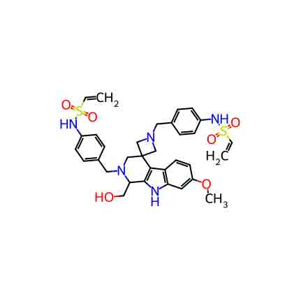 C=CS(=O)(=O)Nc1ccc(CN2CC3(C2)CN(Cc2ccc(NS(=O)(=O)C=C)cc2)C(CO)c2[nH]c4cc(OC)ccc4c23)cc1